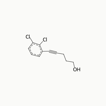 OCCCC#Cc1cccc(Cl)c1Cl